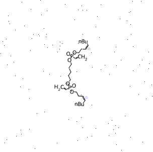 C=CP(=O)(OCC/C=C\CCCC)OCCCCCOP(=O)(C=C)OCC/C=C\CCCC